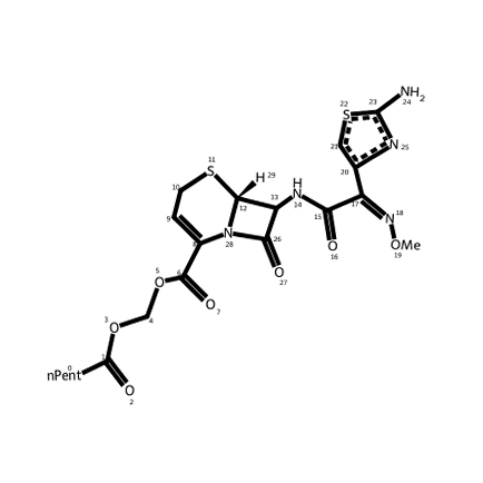 CCCCCC(=O)OCOC(=O)C1=CCS[C@@H]2C(NC(=O)/C(=N\OC)c3csc(N)n3)C(=O)N12